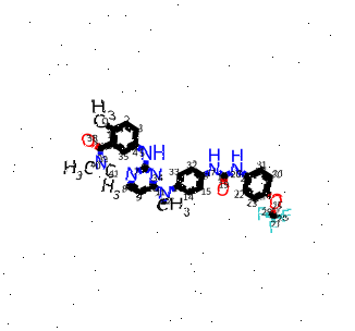 Cc1ccc(Nc2nccc(N(C)c3ccc(NC(=O)Nc4ccc(OC(F)(F)F)cc4)cc3)n2)cc1C(=O)N(C)C